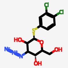 [N-]=[N+]=NC1C(O)[C@@H](Sc2ccc(Cl)c(Cl)c2)OC(CO)[C@@H]1O